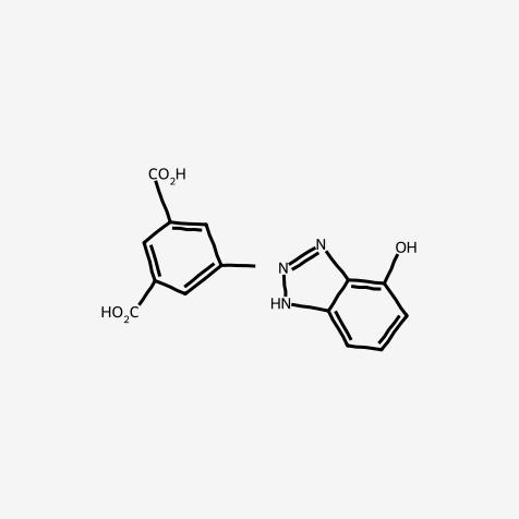 Cc1cc(C(=O)O)cc(C(=O)O)c1.Oc1cccc2[nH]nnc12